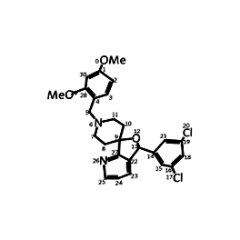 COc1ccc(CN2CCC3(CC2)OC(c2cc(Cl)cc(Cl)c2)c2cccnc23)c(OC)c1